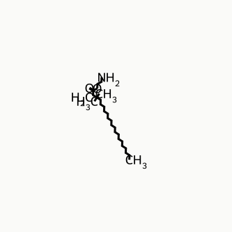 C=C(C(=O)OCCN)C(C)(C)CCCCCCCCCCCCCCCCCC